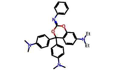 CCN(CC)c1ccc2c(c1)OC(=Nc1ccccc1)OC2(c1ccc(N(C)C)cc1)c1ccc(N(C)C)cc1